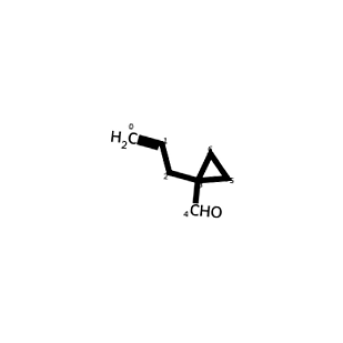 C=CCC1(C=O)CC1